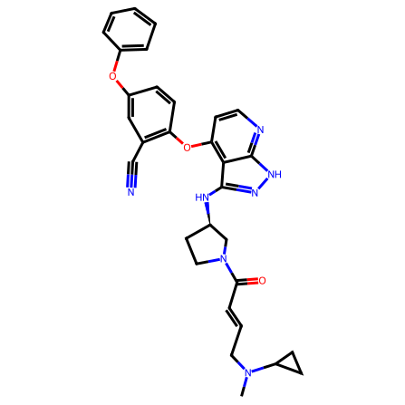 CN(CC=CC(=O)N1CC[C@@H](Nc2n[nH]c3nccc(Oc4ccc(Oc5ccccc5)cc4C#N)c23)C1)C1CC1